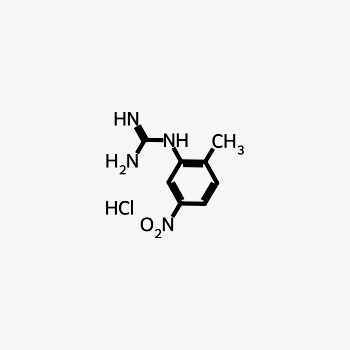 Cc1ccc([N+](=O)[O-])cc1NC(=N)N.Cl